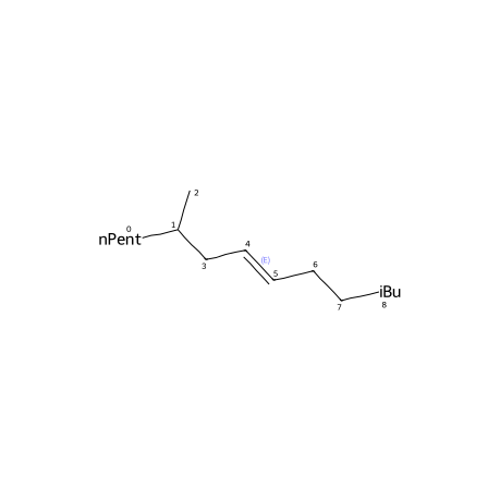 CCCCCC(C)C/C=C/CCC(C)CC